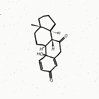 C[C@@]12CCC[C@H]1[C@@H]1C(=O)CC3=CC(=O)C=C[C@]3(O)[C@H]1CC2